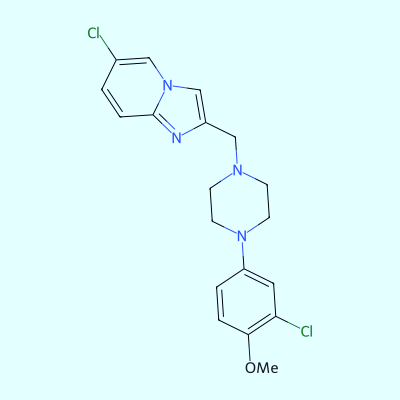 COc1ccc(N2CCN(Cc3cn4cc(Cl)ccc4n3)CC2)cc1Cl